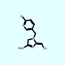 COC1=NC(=CC#N)N(Cc2ccc(Cl)nc2)C1